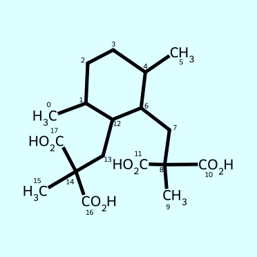 CC1CCC(C)C(CC(C)(C(=O)O)C(=O)O)C1CC(C)(C(=O)O)C(=O)O